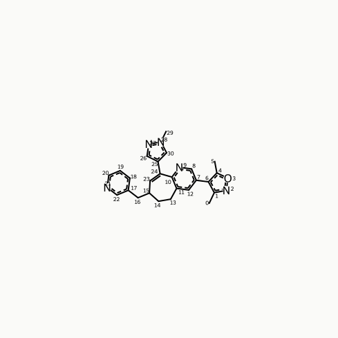 Cc1noc(C)c1-c1cnc2c(c1)CCC(Cc1cccnc1)C=C2c1cnn(C)c1